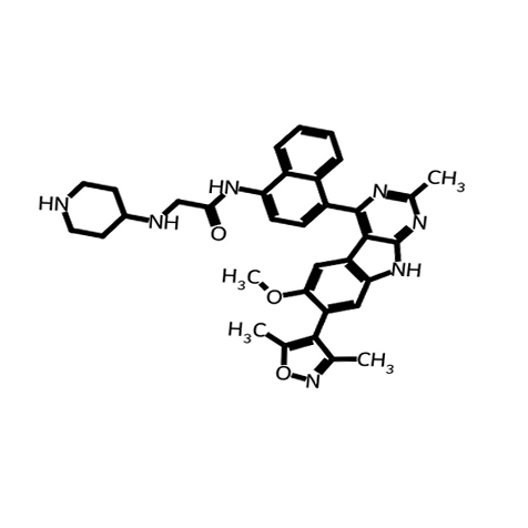 COc1cc2c(cc1-c1c(C)noc1C)[nH]c1nc(C)nc(-c3ccc(NC(=O)CNC4CCNCC4)c4ccccc34)c12